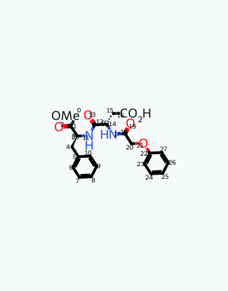 COC(=O)[C@H](Cc1ccccc1)NC(=O)[C@H](CC(=O)O)NC(=O)COc1ccccc1